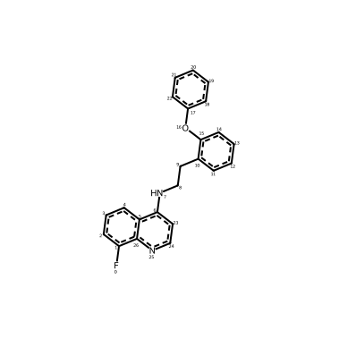 Fc1cccc2c(NCCc3ccccc3Oc3ccccc3)ccnc12